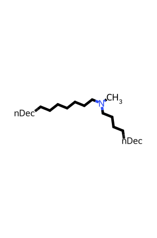 CCCCCCCCCCCCCCCCCN(C)CCCCCCCCCCCCCC